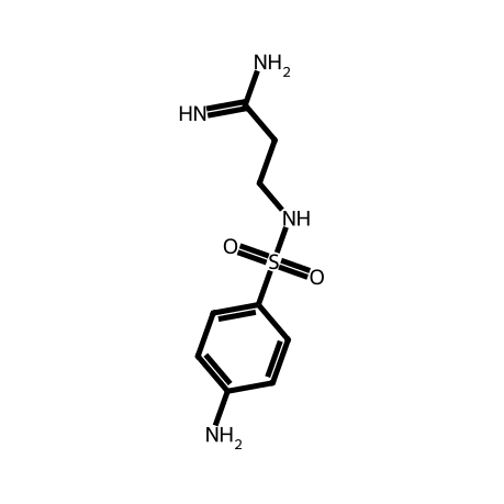 N=C(N)CCNS(=O)(=O)c1ccc(N)cc1